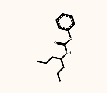 CCCC(CCC)NC(=O)Oc1ccccc1